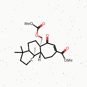 COC(=O)OC[C@@]12CCC3C(C)(C)CCC[C@]3(C)[C@H]1CCC(C(=O)OC)=CC2=O